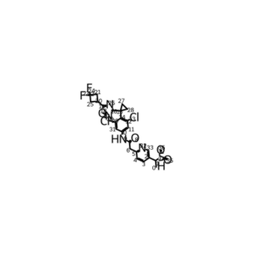 CC(c1ccc(CC(=O)Nc2cc(Cl)c(C3(c4noc(C5CC(F)(F)C5)n4)CC3)c(Cl)c2)nc1)[SH](=O)=O